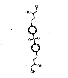 O=S(=O)(c1ccc(OCC(O)CO)cc1)c1ccc(OCC(O)CCl)cc1